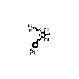 CCc1c(C#N)c(SCc2ccc(N(C)S(C)(=O)=O)cc2)nc(N(C)CCN(CC)CC)c1C#N